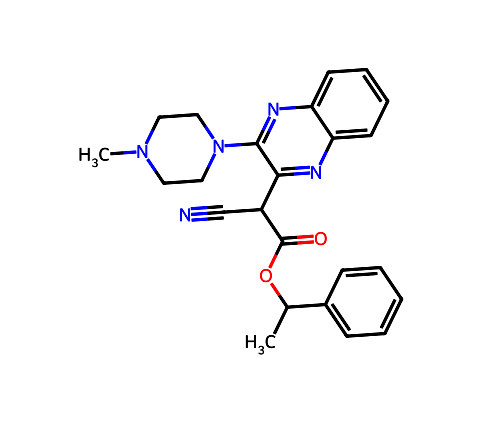 CC(OC(=O)C(C#N)c1nc2ccccc2nc1N1CCN(C)CC1)c1ccccc1